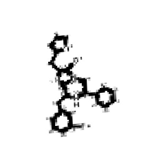 O=c1c(Cc2ccco2)nc2c(Cc3cccc(F)c3)[nH]c(-c3ccccc3)cn1-2